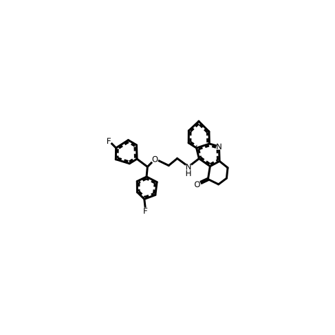 O=C1CCCc2nc3ccccc3c(NCCOC(c3ccc(F)cc3)c3ccc(F)cc3)c21